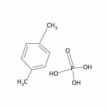 Cc1ccc(C)cc1.O=P(O)(O)O